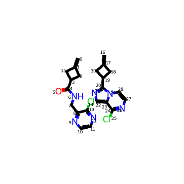 C=C1CC(C(=O)NCc2nccnc2Cl)C1.C=C1CC(c2ncc3c(Cl)nccn23)C1